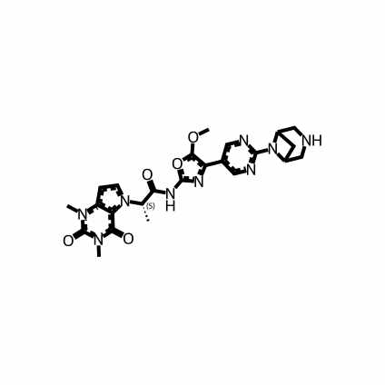 COc1oc(NC(=O)[C@H](C)n2ccc3c2c(=O)n(C)c(=O)n3C)nc1-c1cnc(N2C3CNCC2C3)nc1